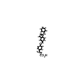 CC(CC(=O)O)c1ccc(OCc2ccc3c(cnn3Cc3ccccc3)c2)cc1